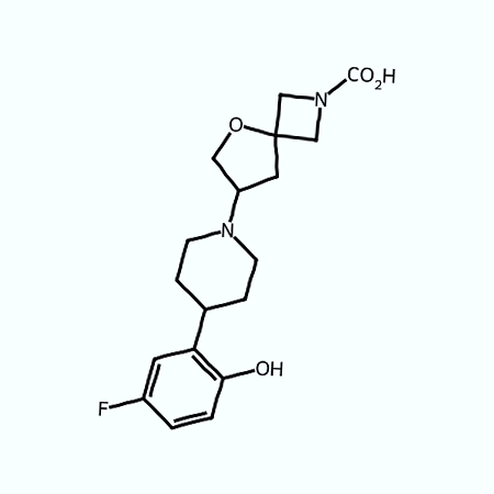 O=C(O)N1CC2(CC(N3CCC(c4cc(F)ccc4O)CC3)CO2)C1